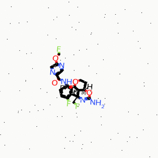 CCC[C@@H]1OCC[C@H]2OC(N)=N[C@](CF)(c3cc(NC(=O)c4cnc(OCF)cn4)ccc3F)[C@@H]12